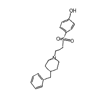 O=S(=O)(CCN1CCC(Cc2ccccc2)CC1)c1ccc(O)cc1